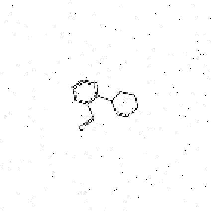 O=Cc1cccnc1C1C=CCCC1